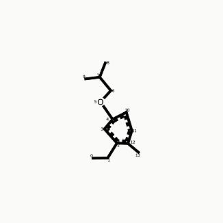 CCc1cc(OCC(C)C)ccc1C